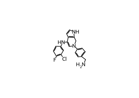 NCc1ccc(N2C=C(Nc3ccc(F)c(Cl)c3)c3cc[nH]c3C2)cc1